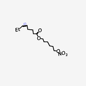 CC/C=C\CCCC(=O)OCCCCCCO[N+](=O)[O-]